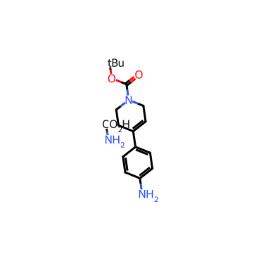 CC(C)(C)OC(=O)N1CC=C(c2ccc(N)cc2)CC1.NC(=O)O